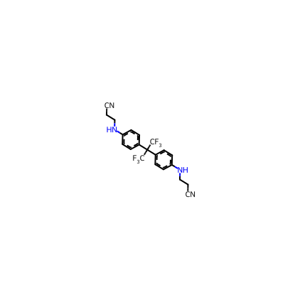 N#CCCNc1ccc(C(c2ccc(NCCC#N)cc2)(C(F)(F)F)C(F)(F)F)cc1